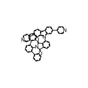 O=C1c2cccc(-n3c4cc(-c5ccncc5)ccc4c4ccc(-c5ccncc5)cc43)c2C(=O)N1c1c(-c2ccccc2)cccc1-c1ccccc1